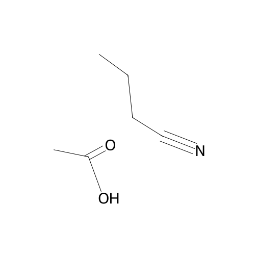 CC(=O)O.CCCC#N